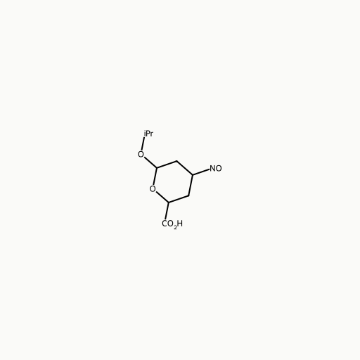 CC(C)OC1CC(N=O)CC(C(=O)O)O1